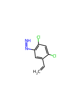 C=Cc1cc(N=N)c(Cl)cc1Cl